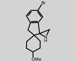 COC1CCC2(CC1)Cc1ccc(Br)cc1C21CN1